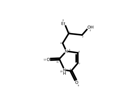 CCC(CO)Cn1ccc(=O)[nH]c1=O